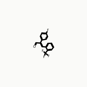 O=C/C(=C/c1ccccc1C(F)(F)F)c1ccc(F)cc1